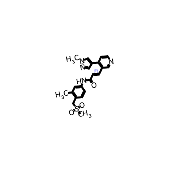 Cc1cc(NC(=O)/C=C/c2cnccc2-c2cnn(C)c2)ccc1CS(C)(=O)=O